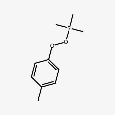 Cc1ccc(OO[Si](C)(C)C)cc1